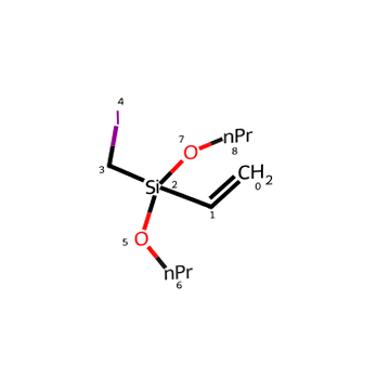 C=C[Si](CI)(OCCC)OCCC